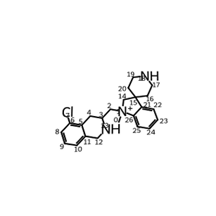 C[N+]1(CC2Cc3c(Cl)cccc3CN2)CC2(CCNCC2)c2ccccc21